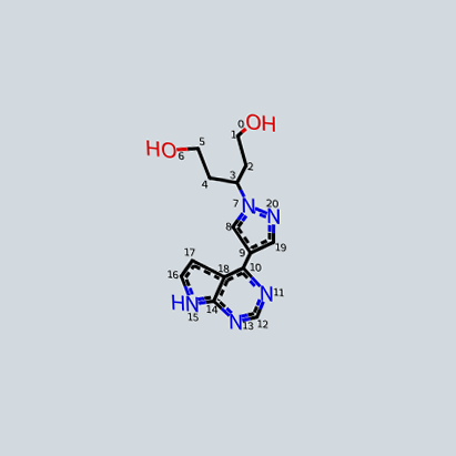 OCCC(CCO)n1cc(-c2ncnc3[nH]ccc23)cn1